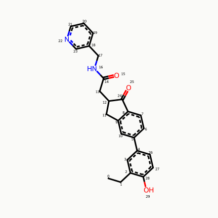 CCc1cc(-c2ccc3c(c2)CC(CC(=O)NCc2cccnc2)C3=O)ccc1O